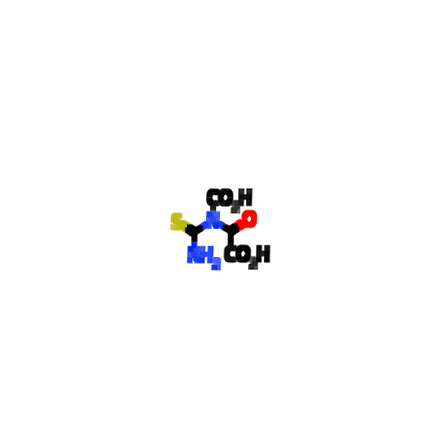 NC(=S)N(C(=O)O)C(=O)C(=O)O